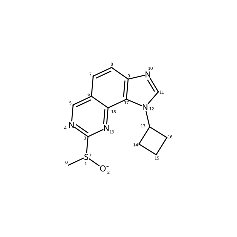 C[S+]([O-])c1ncc2ccc3ncn(C4CCC4)c3c2n1